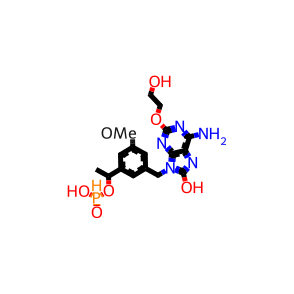 COc1cc(Cn2c(O)nc3c(N)nc(OCCO)nc32)cc(C(C)O[PH](=O)O)c1